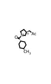 CC(=O)C[C@@H]1CCN(C(=O)[C@H]2CC[C@@H](C)CC2)C1